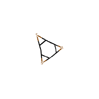 S1C2C3SC3C3SC3C12